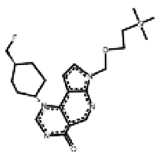 C[Si](C)(C)CCOCn1ccc2c1ncc1c(=O)ncn([C@H]3CC[C@H](CF)CC3)c12